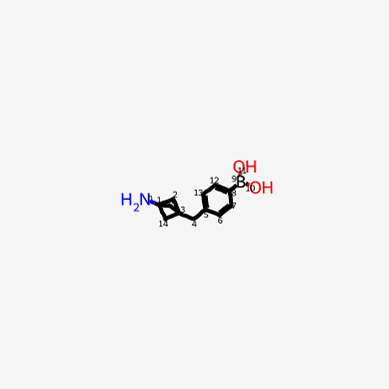 NC12CC(Cc3ccc(B(O)O)cc3)(C1)C2